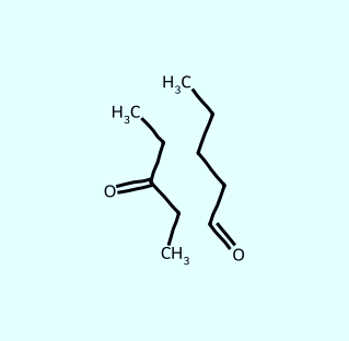 CCC(=O)CC.CCCCC=O